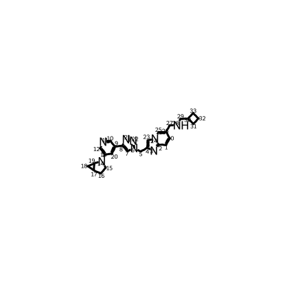 c1cc2nc(Cn3cc(-c4cncc(N5CCC6CC65)c4)nn3)cn2cc1CNCC1CCC1